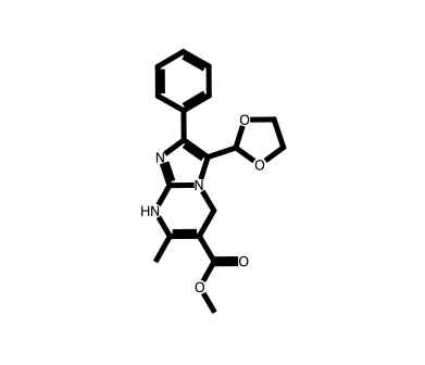 COC(=O)C1=C(C)Nc2nc(-c3ccccc3)c(C3OCCO3)n2C1